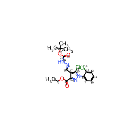 CCOC(=O)c1nn(-c2ccccc2Cl)c(Cl)c1C=NNC(=O)OC(C)(C)C